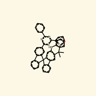 CC1(C)c2ccccc2Nc2cc3c(cc21)-c1ccccc1C31c2ccccc2-c2ccc(-c3nc(-c4ccccc4)nc(-c4ccccc4)n3)cc21